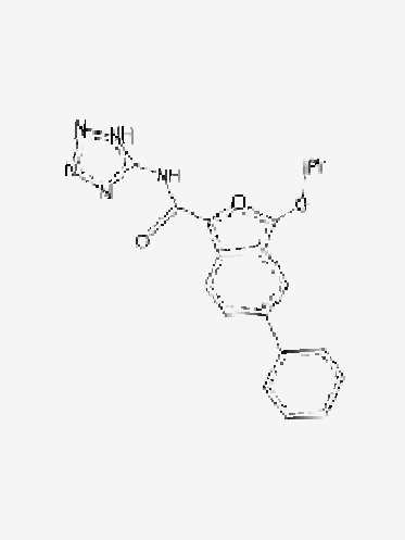 CC(C)Oc1oc(C(=O)Nc2nnn[nH]2)c2ccc(-c3ccccc3)cc12